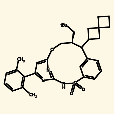 Cc1cccc(C)c1-c1cc2nc(n1)NS(=O)(=O)c1cccc(c1)C(C1CC3(CCC3)C1)[C@H](CC(C)(C)C)CO2